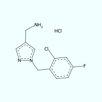 Cl.NCc1cnn(Cc2ccc(F)cc2Cl)c1